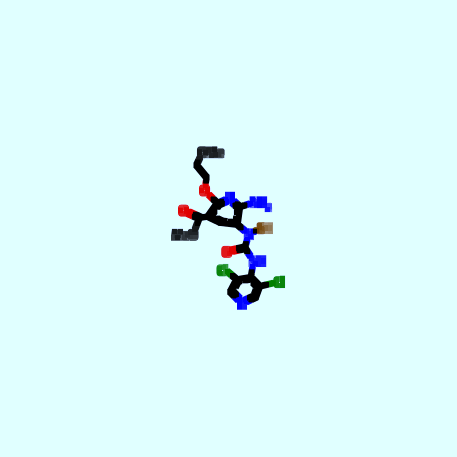 COCCOc1nc(N)c(N(S)C(=O)Nc2c(Cl)cncc2Cl)cc1C(=O)OC